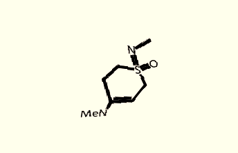 CN=S1(=O)CC=C(NC)CC1